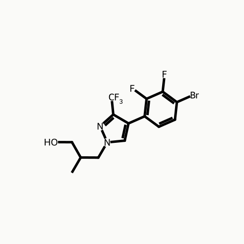 CC(CO)Cn1cc(-c2ccc(Br)c(F)c2F)c(C(F)(F)F)n1